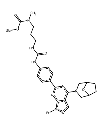 CCn1ncc2c(N3CC4CCC(C3)O4)nc(-c3ccc(NC(=O)NCCCN(C)C(=O)OC(C)(C)C)cc3)nc21